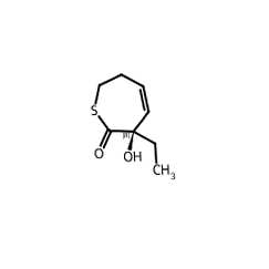 CC[C@@]1(O)C=CCCSC1=O